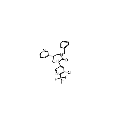 O=C(Cc1cnc(C(F)(F)F)c(Cl)c1)N(Cc1ccccc1)CC(O)c1cccnc1